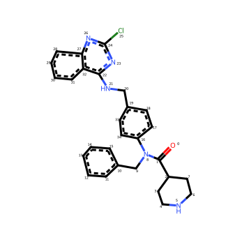 O=C(C1CCNCC1)N(Cc1ccccc1)c1ccc(CNc2nc(Cl)nc3ccccc23)cc1